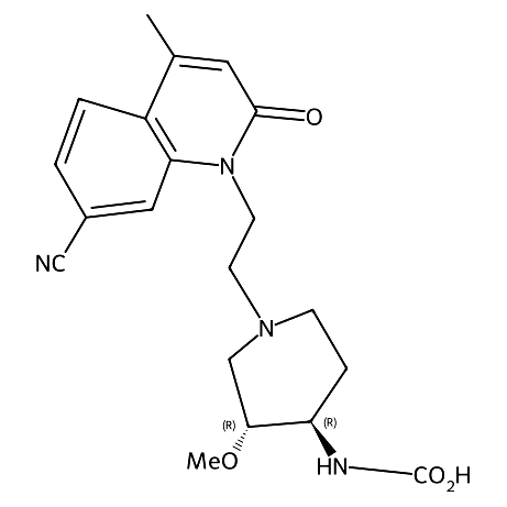 CO[C@@H]1CN(CCn2c(=O)cc(C)c3ccc(C#N)cc32)CC[C@H]1NC(=O)O